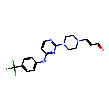 O=CC=CN1CCN(c2nccc(Nc3ccc(C(F)(F)F)cc3)n2)CC1